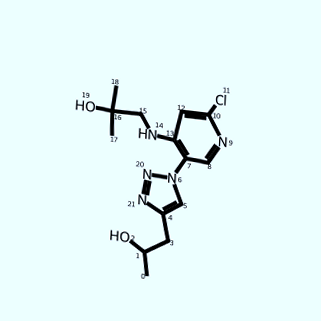 CC(O)Cc1cn(-c2cnc(Cl)cc2NCC(C)(C)O)nn1